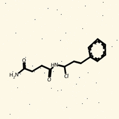 NC(=O)CCC(=O)NC(Cl)CCc1ccccc1